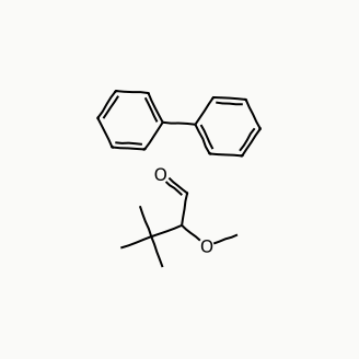 COC(C=O)C(C)(C)C.c1ccc(-c2ccccc2)cc1